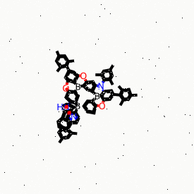 Cc1cc(C)c(-c2cc3c4c(c2)Oc2cc5c(cc2B4c2cc4c(cc2O3)Nc2cc(-c3c(C)cc(C)cc3C)cc3c2B4c2cccc4c6ccccc6n-3c24)B2c3ccccc3Oc3cc(-c4c(C)cc(C)cc4C)cc(c32)N5c2c(C)cc(C)cc2C)c(C)c1